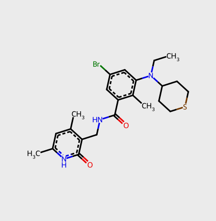 CCN(c1cc(Br)cc(C(=O)NCc2c(C)cc(C)[nH]c2=O)c1C)C1CCSCC1